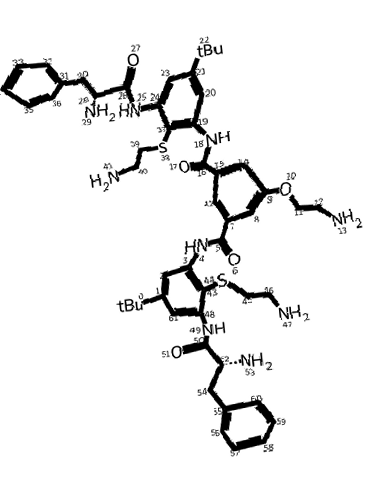 CC(C)(C)c1cc(NC(=O)c2cc(OCCN)cc(C(=O)Nc3cc(C(C)(C)C)cc(NC(=O)[C@H](N)Cc4ccccc4)c3SCCN)c2)c(SCCN)c(NC(=O)[C@H](N)Cc2ccccc2)c1